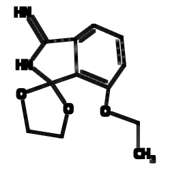 CCOc1cccc2c1C1(NC2=N)OCCO1